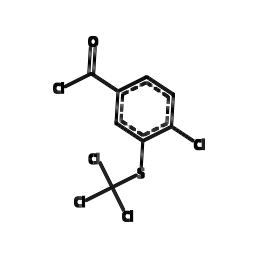 O=C(Cl)c1ccc(Cl)c(SC(Cl)(Cl)Cl)c1